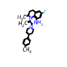 C=C(CN1CCC(c2ccc(C)cc2)CC1)N1c2c(N)cc(F)cc2CCC1C